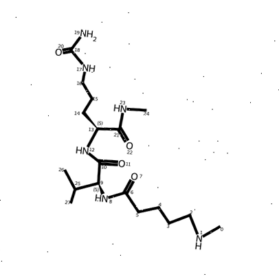 CNCCCCC(=O)N[C@H](C(=O)N[C@@H](CCCNC(N)=O)C(=O)NC)C(C)C